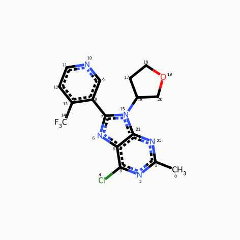 Cc1nc(Cl)c2nc(-c3cnccc3C(F)(F)F)n(C3CCOC3)c2n1